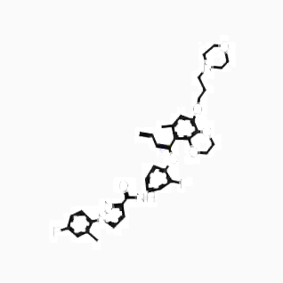 C=C/C=C(/Oc1ccc(NC(=O)c2ccn(-c3ccc(F)cc3C)n2)cc1F)c1c(C)cc(OCCCN2CCOCC2)c2c1OCCO2